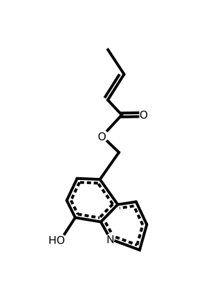 CC=CC(=O)OCc1ccc(O)c2ncccc12